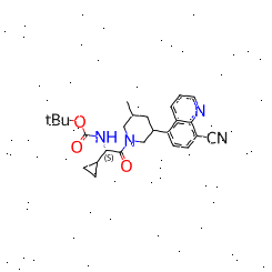 CC1CC(c2ccc(C#N)c3ncccc23)CN(C(=O)[C@@H](NC(=O)OC(C)(C)C)C2CC2)C1